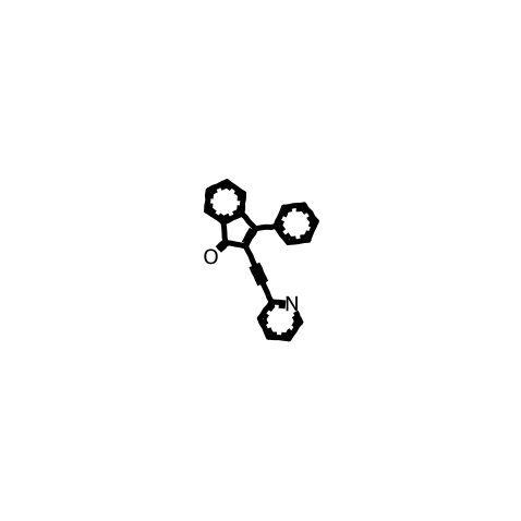 O=C1C(C#Cc2ccccn2)=C(c2ccccc2)c2ccccc21